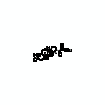 CC(C)(C)NC(=O)[C@H]1CC[C@H]2[C@@H]3CCC4NC(=O)C=C[C@]4(C)[C@H]3CC[C@]12C